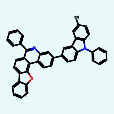 N#Cc1ccc2c(c1)c1cc(-c3ccc4c(c3)nc(-c3ccccc3)c3ccc5c6ccccc6oc5c34)ccc1n2-c1ccccc1